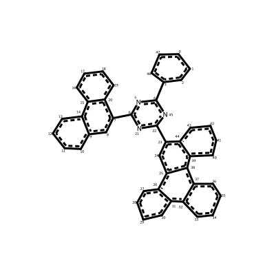 c1ccc(-c2nc(-c3cc4ccccc4c4ccccc34)nc(-c3cc4c5ccccc5c5ccccc5c4c4ccccc34)n2)cc1